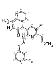 C/C=C/c1nc(NCCc2cccc(F)c2)c(C(C(N)=O)c2cccnc2CN)cc1F